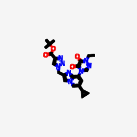 CCn1ncn(-c2cc(C3CC3)cn3cc(Cn4cc(C(=O)OC(C)(C)C)nn4)nc23)c(=O)c1=O